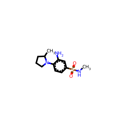 CNS(=O)(=O)c1ccc(N2CCCC2C)c(N)c1